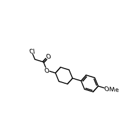 COc1ccc(C2CCC(OC(=O)CCl)CC2)cc1